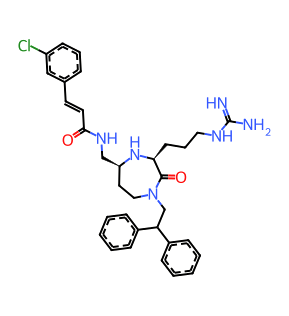 N=C(N)NCCC[C@@H]1N[C@H](CNC(=O)/C=C/c2cccc(Cl)c2)CCN(CC(c2ccccc2)c2ccccc2)C1=O